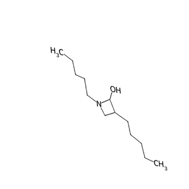 CCCCCC1CN(CCCCC)C1O